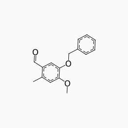 COc1cc(C)c(C=O)cc1OCc1ccccc1